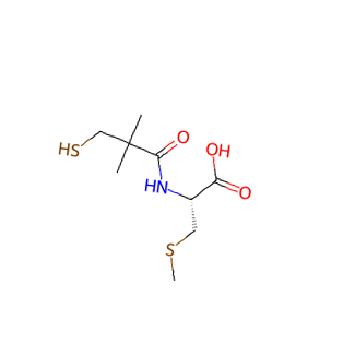 CSC[C@H](NC(=O)C(C)(C)CS)C(=O)O